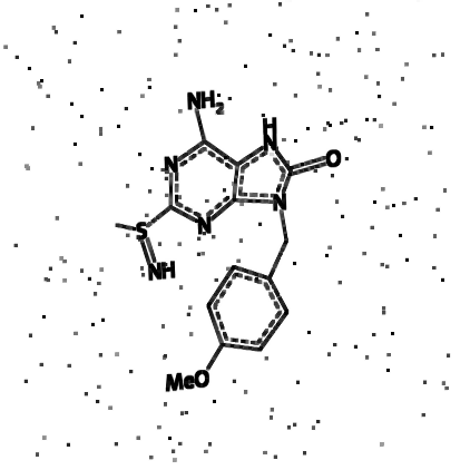 COc1ccc(Cn2c(=O)[nH]c3c(N)nc(S(C)=N)nc32)cc1